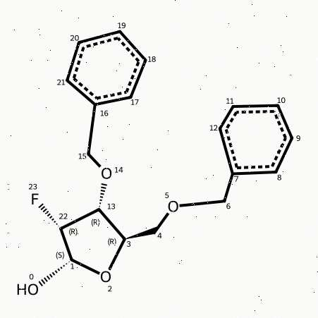 O[C@H]1O[C@H](COCc2ccccc2)[C@@H](OCc2ccccc2)[C@H]1F